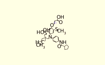 CCCCC1(CC)CN(c2ccc(NC(=O)C3CCCC3)cc2)c2cc(SC)c(O/C=C/C(=O)O)cc2S(O)(O)C1